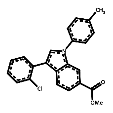 COC(=O)c1ccc2c(-c3ccccc3Cl)cn(-c3ccc(C)cc3)c2c1